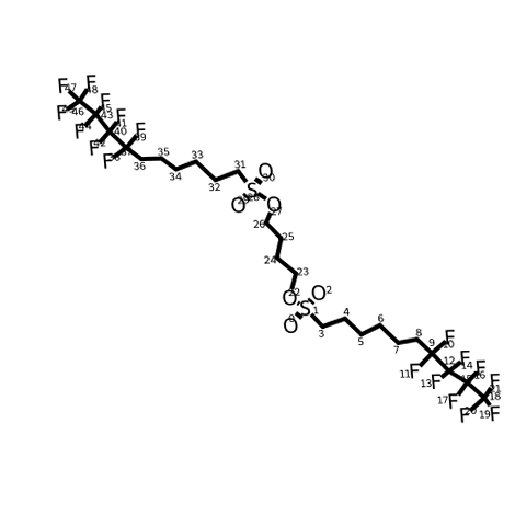 O=S(=O)(CCCCCCC(F)(F)C(F)(F)C(F)(F)C(F)(F)F)OCCCCOS(=O)(=O)CCCCCCC(F)(F)C(F)(F)C(F)(F)C(F)(F)F